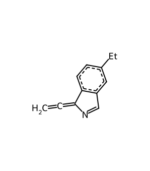 C=C=C1N=Cc2cc(CC)ccc21